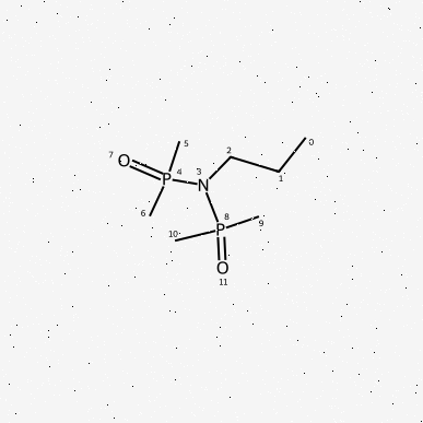 CCCN(P(C)(C)=O)P(C)(C)=O